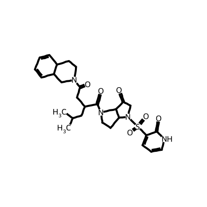 CC(C)CC(CC(=O)N1CCC2C=CC=CC2C1)C(=O)N1CCC2C1C(=O)CN2S(=O)(=O)c1ccc[nH]c1=O